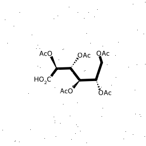 CC(=O)OC[C@H](OC(C)=O)[C@@H](OC(C)=O)[C@@H](OC(C)=O)[C@H](OC(C)=O)C(=O)O